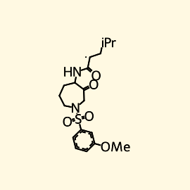 COc1cccc(S(=O)(=O)N2CCCC(NC(=O)[CH]CC(C)C)C(=O)C2)c1